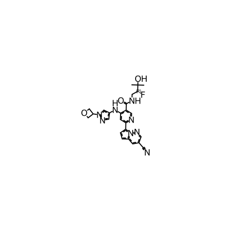 CC(C)(O)[C@H](F)CNC(=O)c1cnc(-c2ccc3cc(C#N)cnn23)cc1Nc1cnn(C2COC2)c1